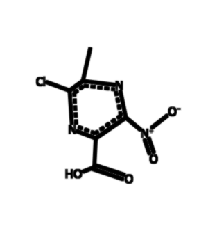 Cc1nc([N+](=O)[O-])c(C(=O)O)nc1Cl